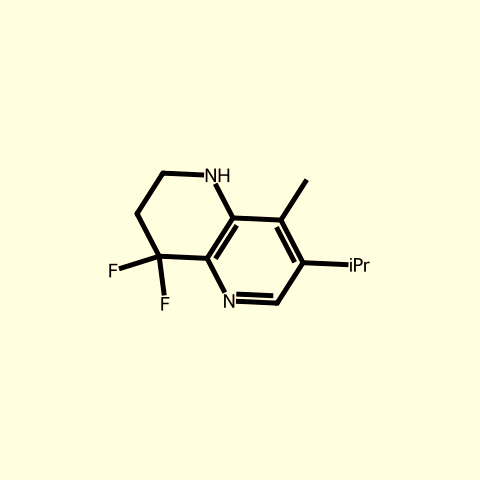 Cc1c(C(C)C)cnc2c1NCCC2(F)F